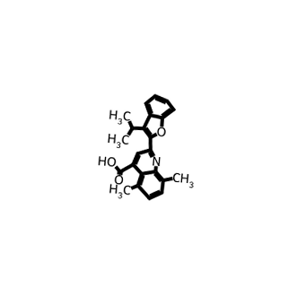 Cc1ccc(C)c2c(C(=O)O)cc(-c3oc4ccccc4c3C(C)C)nc12